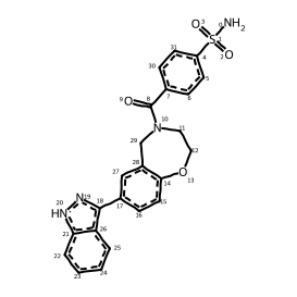 NS(=O)(=O)c1ccc(C(=O)N2CCOc3ccc(-c4n[nH]c5ccccc45)cc3C2)cc1